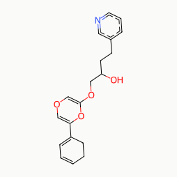 OC(CCc1cccnc1)COC1=COC=C(C2=CC=CCC2)O1